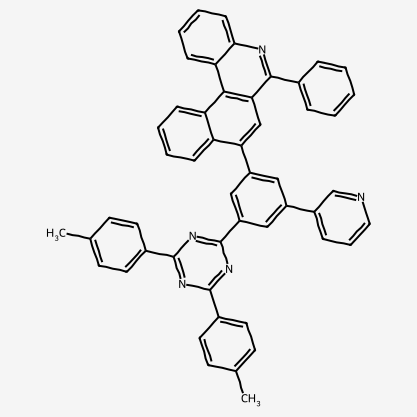 Cc1ccc(-c2nc(-c3ccc(C)cc3)nc(-c3cc(-c4cccnc4)cc(-c4cc5c(-c6ccccc6)nc6ccccc6c5c5ccccc45)c3)n2)cc1